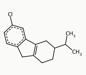 CC(C)C1CCC2=C(C1)c1cc(Cl)ccc1C2